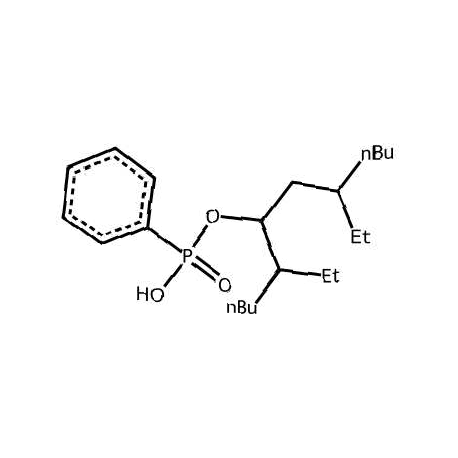 CCCCC(CC)CC(OP(=O)(O)c1ccccc1)C(CC)CCCC